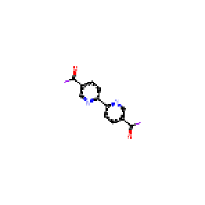 O=C(I)c1ccc(-c2ccc(C(=O)I)cn2)nc1